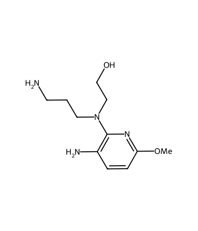 COc1ccc(N)c(N(CCO)CCCN)n1